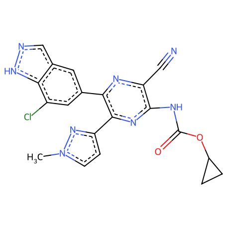 Cn1ccc(-c2nc(NC(=O)OC3CC3)c(C#N)nc2-c2cc(Cl)c3[nH]ncc3c2)n1